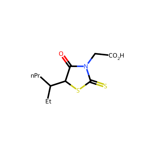 CCCC(CC)C1SC(=S)N(CC(=O)O)C1=O